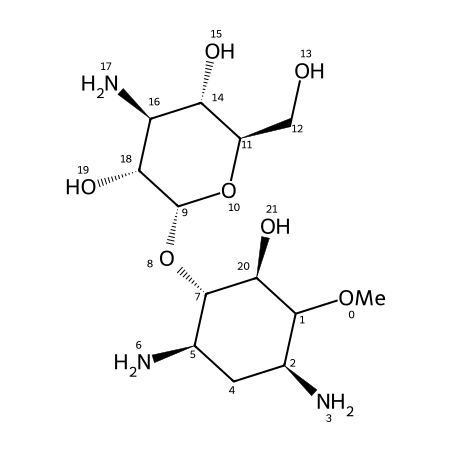 COC1[C@@H](N)C[C@@H](N)[C@H](O[C@H]2O[C@H](CO)[C@@H](O)[C@H](N)[C@H]2O)[C@H]1O